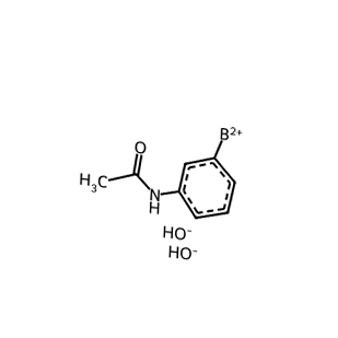 [B+2]c1cccc(NC(C)=O)c1.[OH-].[OH-]